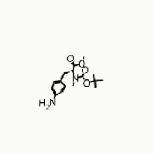 COC(=O)[C@H](Cc1ccc(N)cc1)N(C)C(=O)OC(C)(C)C